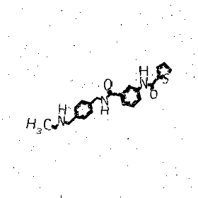 CCNCc1ccc(CNC(=O)c2cccc(NC(=O)c3cccs3)c2)cc1